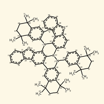 Cc1cc2c(cc1N1c3c4c(cc5c3oc3ccccc35)-c3cc5c(cc3N(c3ccc6c(c3)C(C)(C)CCC6(C)C)B4c3ccc4sc6ccccc6c4c31)C(C)(C)CCC5(C)C)C(C)(C)CCC2(C)C